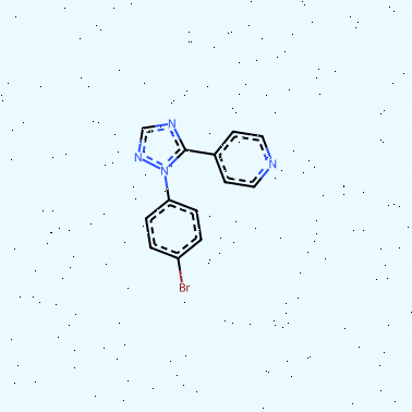 Brc1ccc(-n2ncnc2-c2ccncc2)cc1